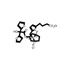 CCOC(=O)CCCc1ccc(C[N+]2(C)[C@@H]3CC[C@H]2CC(OC(=O)C(O)(c2ccco2)c2ccco2)C3)s1.[Cl-]